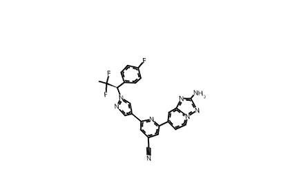 CC(F)(F)[C@@H](c1ccc(F)cc1)n1cc(-c2cc(C#N)cc(-c3ccn4nc(N)nc4c3)n2)cn1